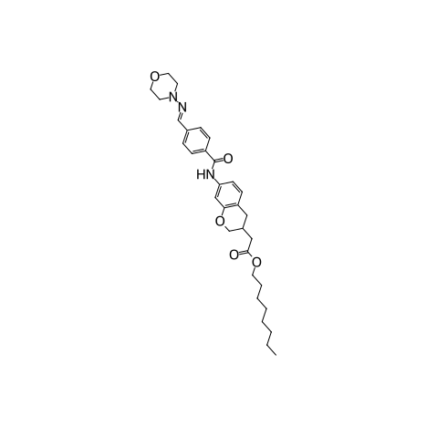 CCCCCCCCOC(=O)CC1COc2cc(NC(=O)c3ccc(C=NN4CCOCC4)cc3)ccc2C1